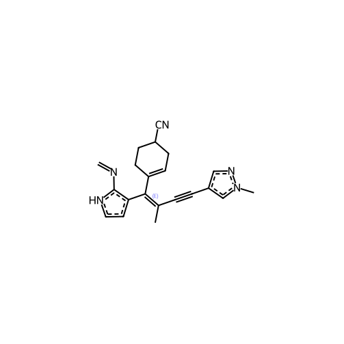 C=Nc1[nH]ccc1/C(C1=CCC(C#N)CC1)=C(\C)C#Cc1cnn(C)c1